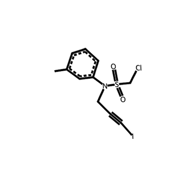 Cc1cccc(N(CC#CI)S(=O)(=O)CCl)c1